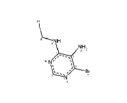 Nc1c(Br)ncnc1NCI